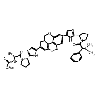 COC(=O)N[C@H](C(=O)N1CCC[C@H]1c1ncc(C2=CC3=C4c5c(cc(-c6cnc([C@@H]7CCCN7C(=O)C(c7ccccc7)N(C)C)[nH]6)cc5OCC4C2)CO3)[nH]1)C(C)C